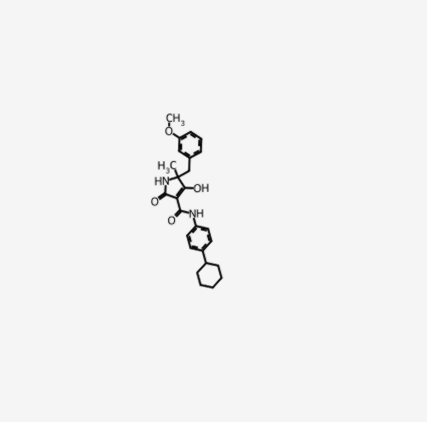 COc1cccc(CC2(C)NC(=O)C(C(=O)Nc3ccc(C4CCCCC4)cc3)=C2O)c1